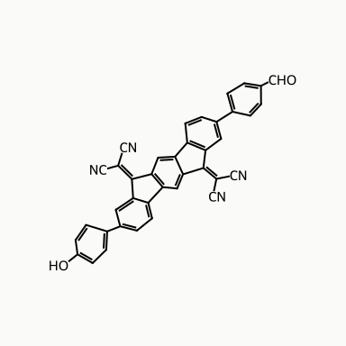 N#CC(C#N)=C1c2cc(-c3ccc(O)cc3)ccc2-c2cc3c(cc21)-c1ccc(-c2ccc(C=O)cc2)cc1C3=C(C#N)C#N